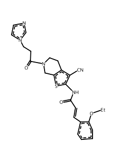 CCOc1ccccc1/C=C/C(=O)Nc1sc2c(c1C#N)CCN(C(=O)CCn1ccnc1)C2